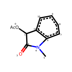 CC(=O)OC1C(=O)N(C)c2ccccc21